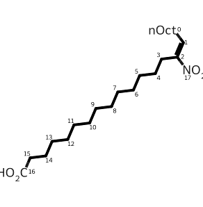 CCCCCCCC/C=C(\CCCCCCCCCCCCCC(=O)O)[N+](=O)[O-]